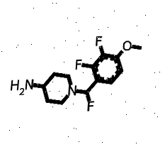 COc1ccc(C(F)N2CCC(N)CC2)c(F)c1F